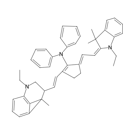 CCN1CC(/C=C/C2=C(N(c3ccccc3)c3ccccc3)C(=C/C=C3/N(CC)c4ccccc4C3(C)C)/CC2)C2(C)c3cccc1c32